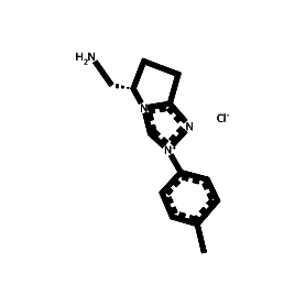 Cc1ccc(-[n+]2cn3c(n2)CC[C@H]3CN)cc1.[Cl-]